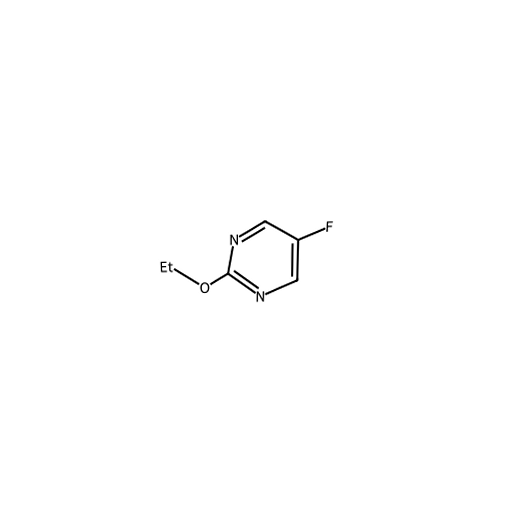 [CH2]COc1ncc(F)cn1